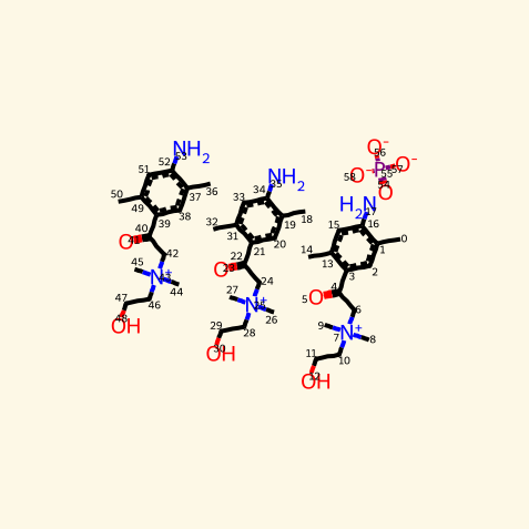 Cc1cc(C(=O)C[N+](C)(C)CCO)c(C)cc1N.Cc1cc(C(=O)C[N+](C)(C)CCO)c(C)cc1N.Cc1cc(C(=O)C[N+](C)(C)CCO)c(C)cc1N.O=P([O-])([O-])[O-]